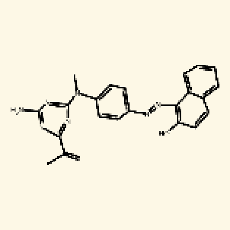 C=C(C)c1nc(N)nc(N(C)c2ccc(/N=N/c3c(O)ccc4ccccc34)cc2)n1